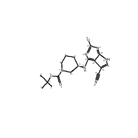 CC(C)(C)OC(=O)N1CCC[C@@H](Nc2nc(Cl)nc3[nH]cc(C#N)c23)C1